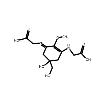 COC1=C(NCC(=O)O)CC(O)(CO)C/C1=N\CC(=O)O